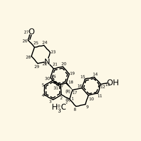 C[C@@]1(c2ccccc2)CCc2cc(O)ccc2[C@@H]1c1ccc(N2CCC(C=O)CC2)cc1